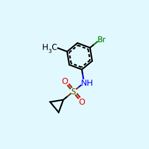 Cc1cc(Br)cc(NS(=O)(=O)C2CC2)c1